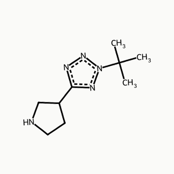 CC(C)(C)n1nnc(C2CCNC2)n1